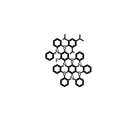 CC(C)c1cc(C(C)C)c(B2c3ccccc3N(c3ccccc3)c3c2cc2c(c3F)N3c4ccccc4B4c5ccccc5N5c6ccccc6B6c7ccccc7N7c8ccccc8B2c2c7c6c5c4c23)c(C(C)C)c1